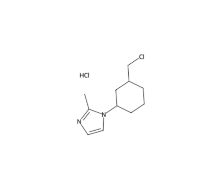 Cc1nccn1C1CCCC(CCl)C1.Cl